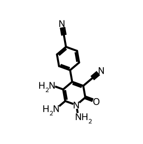 N#Cc1ccc(-c2c(N)c(N)n(N)c(=O)c2C#N)cc1